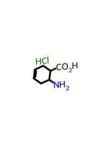 Cl.NC1CC=CCC1C(=O)O